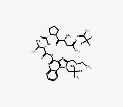 CCOCc1nc2c(NC(=O)[C@@H](NC(=O)[C@@H]3CCCN3C(=O)[C@@H](N)CC(N)=O)C(C)C)nc3ccccc3c2n1CC(C)(C)O.O=C(O)C(F)(F)F